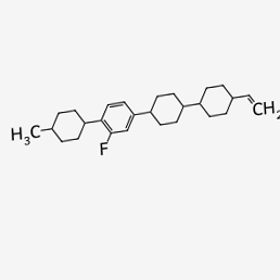 C=CC1CCC(C2CCC(c3ccc(C4CCC(C)CC4)c(F)c3)CC2)CC1